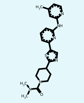 Cc1ccnc(Nc2cccc(-c3cnc(C4CCN(C(=O)N(C)C)CC4)s3)n2)c1